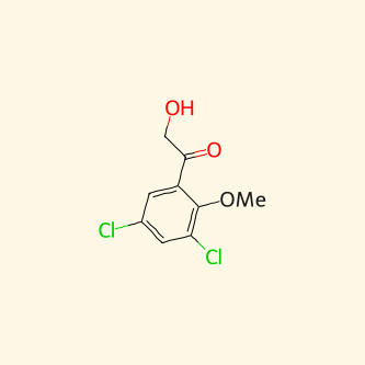 COc1c(Cl)cc(Cl)cc1C(=O)CO